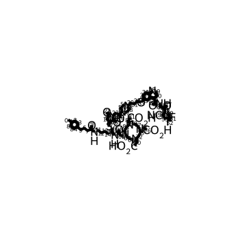 Cc1ccc(CCCC(=O)NCCCC[C@@H](CSC2CC(=O)N(CC(=O)N3CCN(CCCOc4ccc5nccc(C(=O)NCC(=O)N6CC(F)(F)C[C@@H]6C#N)c5c4)CC3)C2=O)NC(=O)CN2CCN(CC(=O)O)CCN(CC(=O)O)CCN(CC(=O)O)CC2)cc1